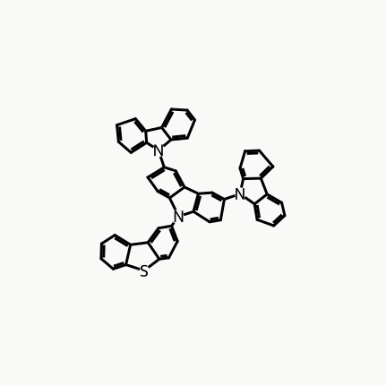 c1ccc2c(c1)sc1ccc(-n3c4ccc(-n5c6ccccc6c6ccccc65)cc4c4cc(-n5c6ccccc6c6ccccc65)ccc43)cc12